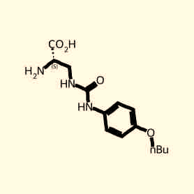 CCCCOc1ccc(NC(=O)NC[C@H](N)C(=O)O)cc1